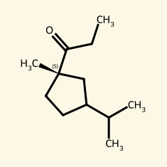 CCC(=O)[C@@]1(C)CCC(C(C)C)C1